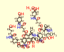 CC1=C(C(=O)O)C(c2cccc([N+](=O)[O-])c2)C(C(=O)OCCCC(=O)Nc2ccc(O)cc2)=C(C)N1.CC1=C(C(=O)O)C(c2cccc([N+](=O)[O-])c2)C(C(=O)OCCCC(=O)Nc2ccc(O)cc2)=C(C)N1.COc1ccc(NC(=O)CCCO)cc1.O